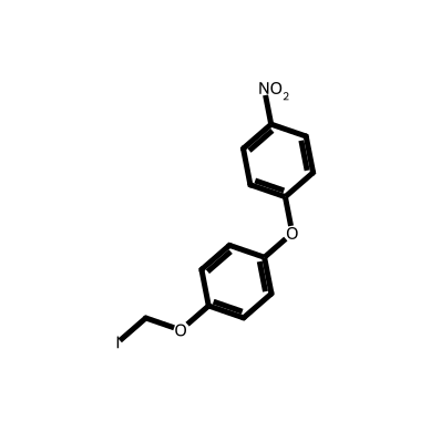 O=[N+]([O-])c1ccc(Oc2ccc(OCI)cc2)cc1